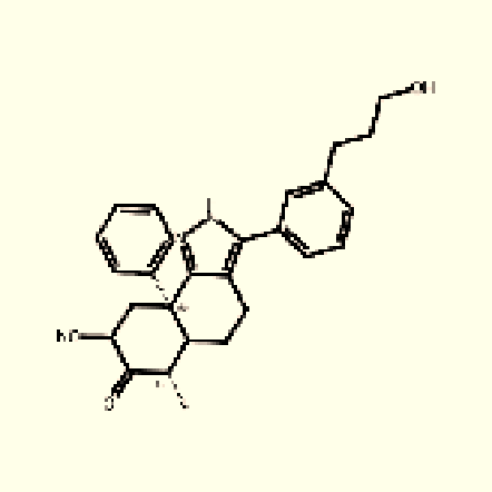 C[C@@H]1C(=O)C(C#N)C[C@@]2(c3ccccc3)c3n[nH]c(-c4cccc(CCCO)c4)c3CCC12